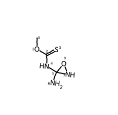 COC(=S)NC1(N)NO1